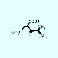 C=C(C)C(=O)C(CC(=O)OCC)C(=O)O